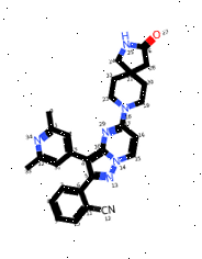 Cc1cc(-c2c(-c3ccccc3C#N)nn3ccc(N4CCC5(CC4)CNC(=O)C5)nc23)cc(C)n1